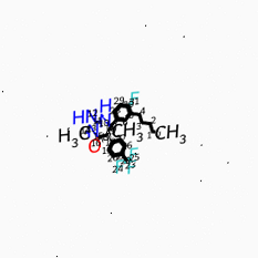 CCCCCc1cc([C@@]2(C)NC(=N)N(C)C(=O)[C@H]2c2ccc(C(F)(F)F)cc2)ccc1F